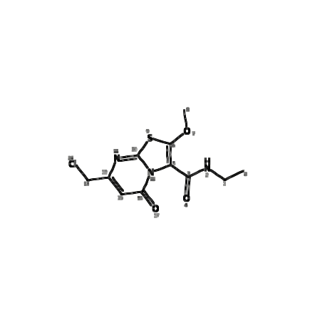 CCNC(=O)c1c(OC)sc2nc(CCl)cc(=O)n12